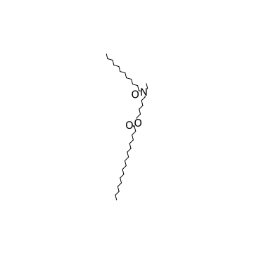 CCCCCCCCCCCCCCCCCC(=O)OCCCCCCN(CC)C(=O)CCCCCCCCCCC